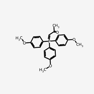 COc1ccc(P(=CC(C)=O)(c2ccc(OC)cc2)c2ccc(OC)cc2)cc1